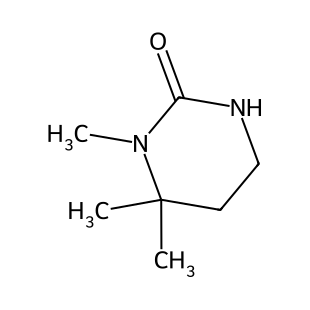 CN1C(=O)NCCC1(C)C